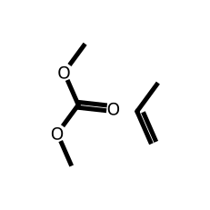 C=CC.COC(=O)OC